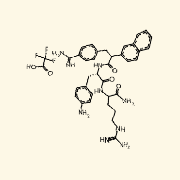 N=C(N)NCCCC(NC(=O)[C@H](Cc1ccc(N)cc1)NC(=O)[C@@H](Cc1ccc(C(=N)N)cc1)c1ccc2ccccc2c1)C(N)=O.O=C(O)C(F)(F)F